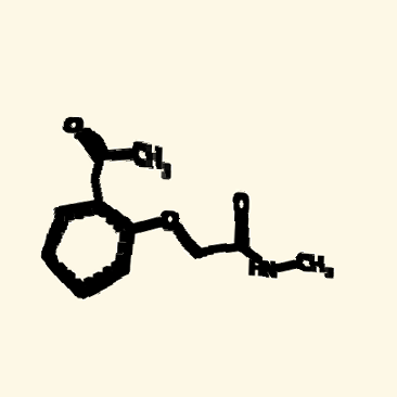 CNC(=O)COc1ccccc1C(C)=O